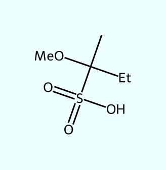 CCC(C)(OC)S(=O)(=O)O